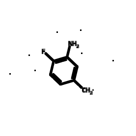 [CH2]c1ccc(F)c(N)c1